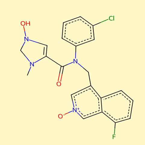 CN1CN(O)C=C1C(=O)N(Cc1c[n+]([O-])cc2c(F)cccc12)c1cccc(Cl)c1